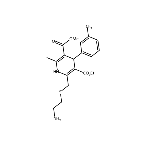 CCOC(=O)C1=C(CSCCN)NC(C)=C(C(=O)OC)C1c1cccc(C(F)(F)F)c1